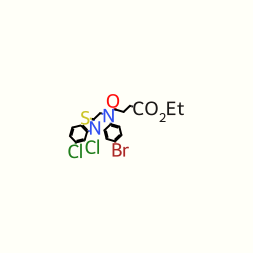 CCOC(=O)CCC(=O)N(Cc1nc2c(Cl)c(Cl)ccc2s1)c1ccc(Br)cc1